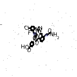 NC(=O)/C=C/c1cccc2c1CCN(C(=O)/C=C/c1c(-n3cnnn3)ccc(Cl)c1F)C2C(=O)Nc1ccc(C(=O)O)cc1